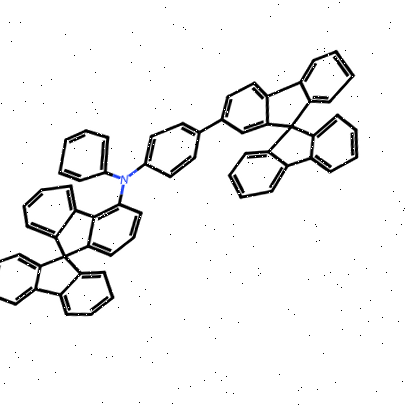 c1ccc(N(c2ccc(-c3ccc4c(c3)C3(c5ccccc5-c5ccccc53)c3ccccc3-4)cc2)c2cccc3c2-c2ccccc2C32c3ccccc3-c3ccccc32)cc1